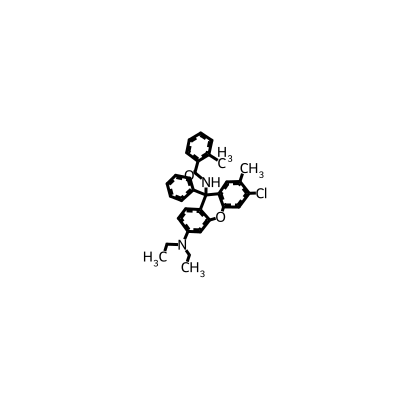 CCN(CC)c1ccc2c(c1)Oc1cc(Cl)c(C)cc1C2(NC(=O)c1ccccc1C)c1ccccc1